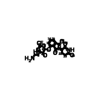 NCCNC(=O)C(OC(=O)C(F)(F)F)Oc1cccc2c1C(=O)N(C1CCC(=O)NC1=O)C2=O